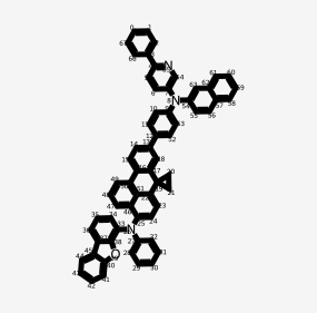 c1ccc(-c2ccc(N(c3ccc(-c4ccc5c(c4)C4(CC4)c4ccc(N(c6ccccc6)c6cccc7c6oc6ccccc67)c6cccc-5c46)cc3)c3ccc4ccccc4c3)cn2)cc1